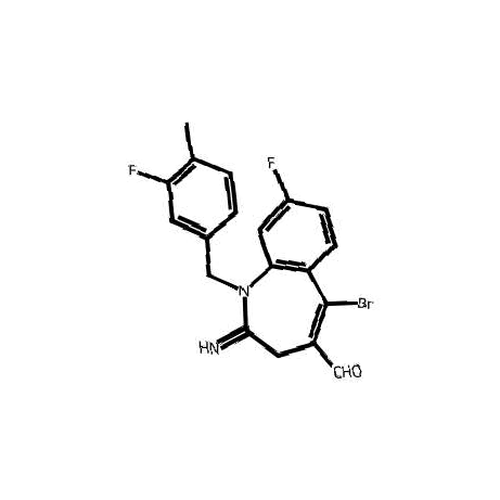 Cc1ccc(CN2C(=N)CC(C=O)=C(Br)c3ccc(F)cc32)cc1F